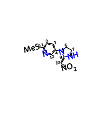 CSc1ccc(N2CCNC2=C[N+](=O)[O-])cn1